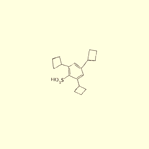 O=S(=O)(O)c1c(C2CCC2)cc(C2CCC2)cc1C1CCC1